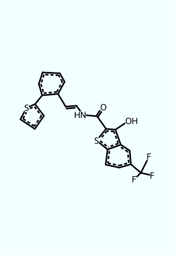 O=C(NC=Cc1ccccc1-c1cccs1)c1sc2ccc(C(F)(F)F)cc2c1O